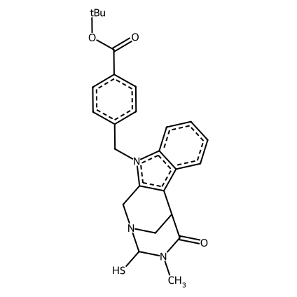 CN1C(=O)C2CN(Cc3c2c2ccccc2n3Cc2ccc(C(=O)OC(C)(C)C)cc2)C1S